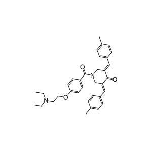 CCN(CC)CCOc1ccc(C(=O)N2CC(=Cc3ccc(C)cc3)C(=O)C(=Cc3ccc(C)cc3)C2)cc1